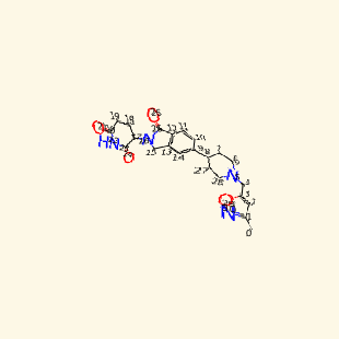 Cc1cc(CN2CCC(c3ccc4c(c3)CN(C3CCC(=O)NC3=O)C4=O)CC2)on1